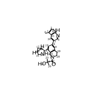 Cc1c[nH]c2ncc(-c3cc4c(c([C@H]5NC[C@H]6C[C@H]65)c3)CN(C(=O)C(C)(C)O)CC4)cc12